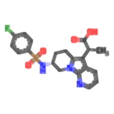 CC(C(=O)O)c1c2n(c3ncccc13)C[C@H](NS(=O)(=O)c1ccc(F)cc1)CC2